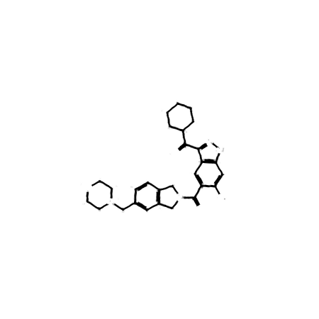 O=C(c1n[nH]c2cc(O)c(C(=O)N3Cc4ccc(CN5CCOCC5)cc4C3)cc12)C1CCCCC1